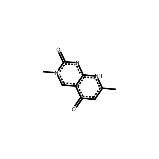 Cc1cc(=O)c2cn(C)c(=O)nc2[nH]1